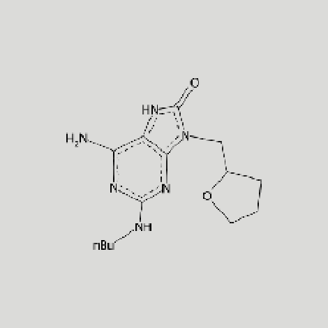 CCCCNc1nc(N)c2[nH]c(=O)n(CC3CCCO3)c2n1